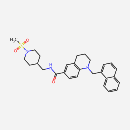 CS(=O)(=O)N1CCC(CNC(=O)c2ccc3c(c2)CCCN3Cc2cccc3ccccc23)CC1